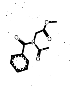 COC(=O)CN(C(C)=O)C(=O)c1ccccc1